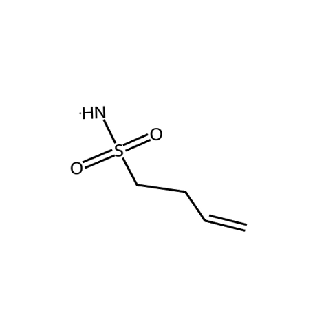 C=CCCS([NH])(=O)=O